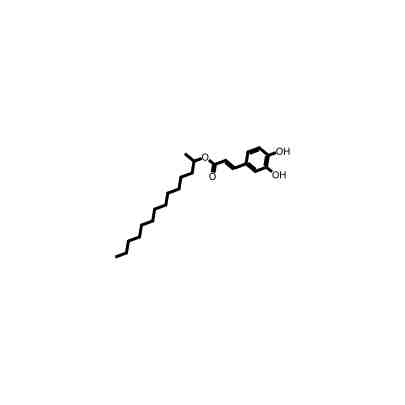 CCCCCCCCCCCCC(C)OC(=O)/C=C/c1ccc(O)c(O)c1